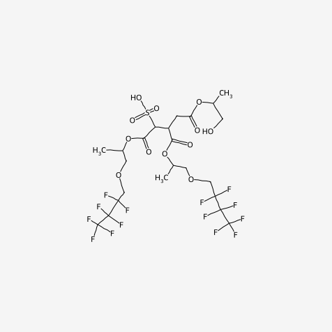 CC(CO)OC(=O)CC(C(=O)OC(C)COCC(F)(F)C(F)(F)C(F)(F)F)C(C(=O)OC(C)COCC(F)(F)C(F)(F)C(F)(F)F)S(=O)(=O)O